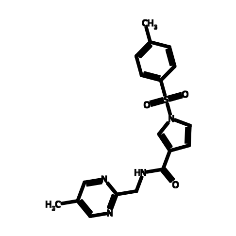 Cc1ccc(S(=O)(=O)n2ccc(C(=O)NCc3ncc(C)cn3)c2)cc1